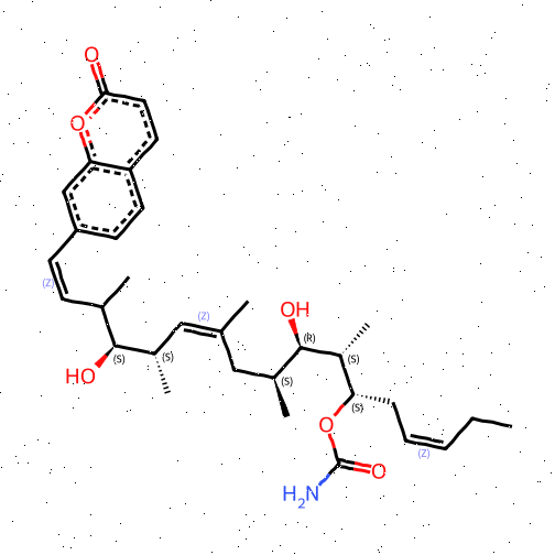 CC/C=C\C[C@H](OC(N)=O)[C@@H](C)[C@H](O)[C@@H](C)C/C(C)=C\[C@H](C)[C@@H](O)C(C)/C=C\c1ccc2ccc(=O)oc2c1